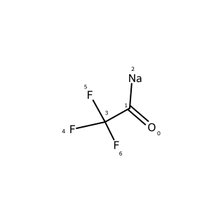 O=[C]([Na])C(F)(F)F